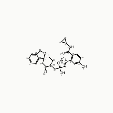 CO[C@](O)(COc1cc(O)ccc1C(=O)NC1CC1)CN1CC[C@@]2(CC1Cl)OCc1ccccc12